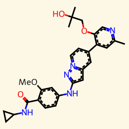 COc1cc(Nc2cc3cc(-c4cc(C)ncc4OCC(C)(C)O)ccn3n2)ccc1C(=O)NC1CC1